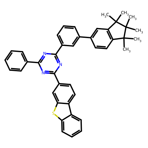 CC1(C)c2ccc(-c3cccc(-c4nc(-c5ccccc5)nc(-c5ccc6c(c5)sc5ccccc56)n4)c3)cc2C(C)(C)C1(C)C